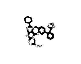 COC(=O)Cn1c(=O)[nH]c2nc(C3CCCCC3)n(Cc3ccc(-c4ccccc4-c4nnn[nH]4)cc3)c2c1=O